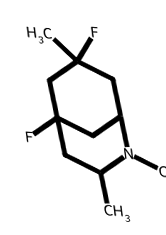 CC1CC2(F)CC(CC(C)(F)C2)N1O